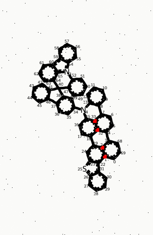 c1ccc(-c2ccc(-c3ccccc3N(c3ccc(-c4ccc5c(c4)sc4ccccc45)cc3)c3ccc4c(c3)C3(c5ccccc5-4)c4ccccc4-n4c5ccccc5c5cccc3c54)cc2)cc1